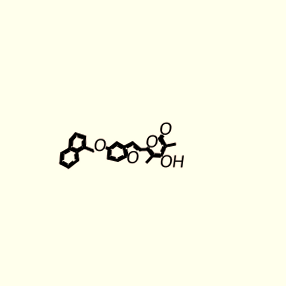 Cc1c(-c2cc3cc(OCc4cccc5ccccc45)ccc3o2)oc(=O)c(C)c1O